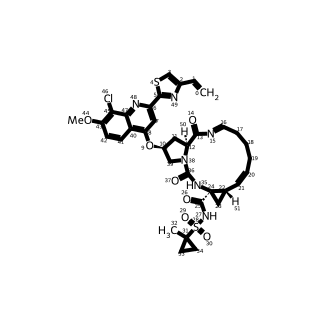 C=Cc1csc(-c2cc(O[C@H]3C[C@H]4C(=O)/N=C/CCC/C=C\[C@@H]5C[C@@]5(C(=O)NS(=O)(=O)C5(C)CC5)NC(=O)N4C3)c3ccc(OC)c(Cl)c3n2)n1